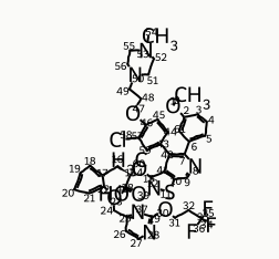 COc1cccc(-c2ncc3snc(O[C@H](Cc4ccccc4OCc4ccnc(OCCC(F)(F)F)n4)C(=O)O)c3c2-c2ccc(OCCN3CCN(C)CC3)c(Cl)c2C)c1